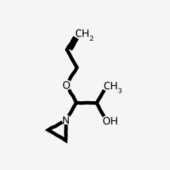 C=CCOC(C(C)O)N1CC1